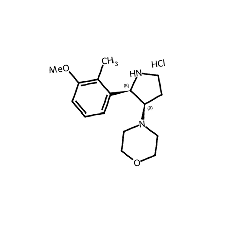 COc1cccc([C@H]2NCC[C@H]2N2CCOCC2)c1C.Cl